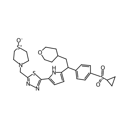 O=S(=O)(c1ccc(C(CC2CCOCC2)c2ccc(-c3nnc(CN4CC[S+]([O-])CC4)s3)[nH]2)cc1)C1CC1